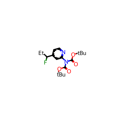 CCC(F)c1ccnc(N(C(=O)OC(C)(C)C)C(=O)OC(C)(C)C)c1